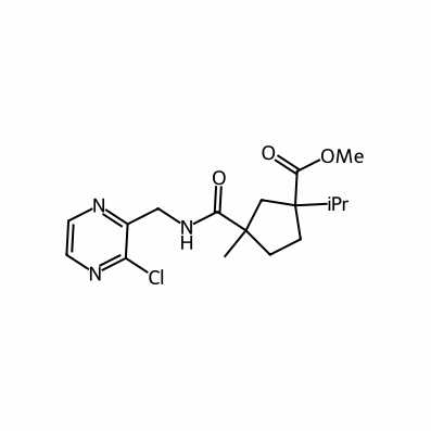 COC(=O)C1(C(C)C)CCC(C)(C(=O)NCc2nccnc2Cl)C1